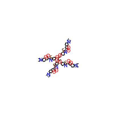 CCN(CC)c1ccc2cc(-c3nc4ccc(OCC(Oc5ccc6nc(-c7cc8ccc(N(CC)CC)cc8oc7=O)sc6c5)C(Oc5ccc6nc(-c7cc8ccc(N(CC)CC)cc8oc7=O)sc6c5)C(C)Oc5ccc6nc(-c7cc8ccc(N(CC)CC)cc8oc7=O)sc6c5)cc4s3)c(=O)oc2c1